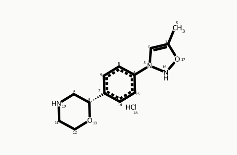 CC1=CN(c2ccc([C@H]3CNCCO3)cc2)NO1.Cl